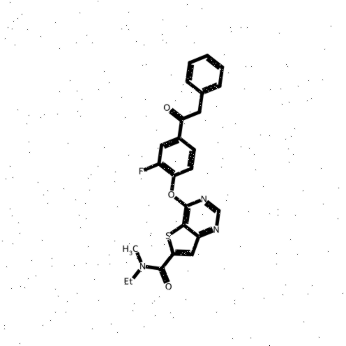 CCN(C)C(=O)c1cc2ncnc(Oc3ccc(C(=O)Cc4ccccc4)cc3F)c2s1